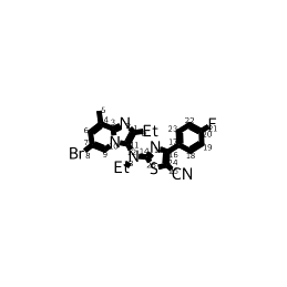 CCc1nc2c(C)cc(Br)cn2c1N(CC)c1nc(-c2ccc(F)cc2)c(C#N)s1